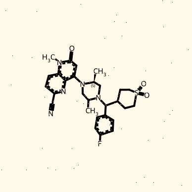 CC1CN(c2cc(=O)n(C)c3ccc(C#N)nc23)[C@@H](C)CN1C(c1ccc(F)cc1)C1CCS(=O)(=O)CC1